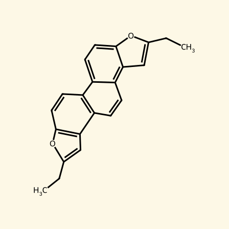 CCc1cc2c(ccc3c2ccc2c4cc(CC)oc4ccc23)o1